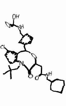 CC(C)(C)CN1C(=O)C(CC(=O)NCC2CCCCC2)OC(c2cccc(CNC(=O)O)c2)c2cc(Cl)ccc21